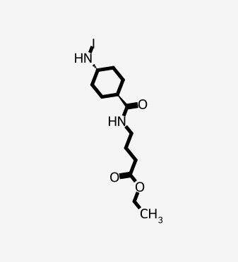 CCOC(=O)CCCNC(=O)[C@H]1CC[C@H](NI)CC1